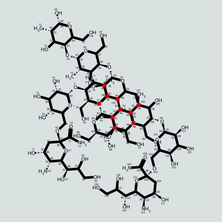 CC1C(O)[C@H](O[C@@H]2OC(CO[C@]3(C(N)=O)C[C@@H](O)[C@@H](N)C([C@H](O)C(O)CO)O3)[C@H](O)C(O)[C@@H]2O)[C@H](CO)O[C@H]1O[C@@H]1C(O)[C@H](O)C(CO)O[C@@H]1OCC1O[C@@H](O[C@@H]2C(CO)O[C@@H](O[C@@H]3C(CO)O[C@@H](O)[C@@H](C)C3O)[C@@H](C)C2O)[C@H](O)C(O[C@H]2O[C@H](CO)[C@@H](O)C(O)C2O[C@@H]2OC(CO)[C@@H](O[C@@H]3OC(CO[C@]4(C(N)=O)C[C@@H](O)[C@@H](N)C([C@H](O)C(O)CO)O4)[C@H](O)C(O)[C@@H]3O)C(O)[C@@H]2C)[C@@H]1O